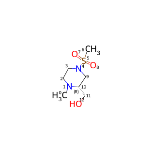 CN1CCN(S(C)(=O)=O)C[C@@H]1CO